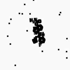 NC(=O)Oc1cccc2c(N[C@H](CN3CCC3)c3cc(F)ccc3F)ncnc12